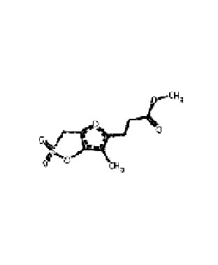 COC(=O)CCc1oc2c(c1C)OS(=O)(=O)C2